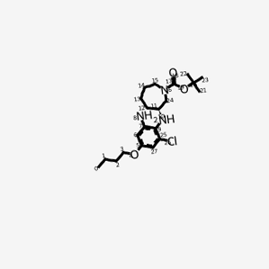 CCCCOc1cc(N)c(N[C@@H]2CCCCN(C(=O)OC(C)(C)C)C2)c(Cl)c1